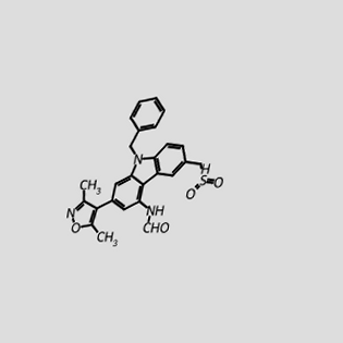 Cc1noc(C)c1-c1cc(NC=O)c2c3cc(C[SH](=O)=O)ccc3n(Cc3ccccc3)c2c1